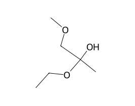 CCOC(C)(O)COC